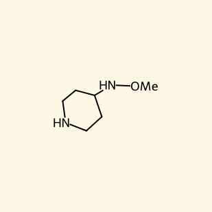 CONC1CCNCC1